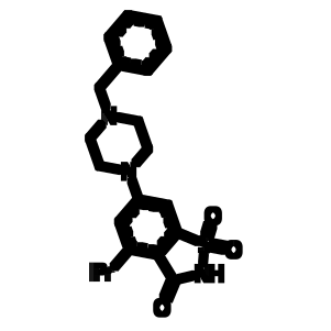 CC(C)c1cc(N2CCN(Cc3ccccc3)CC2)cc2c1C(=O)NS2(=O)=O